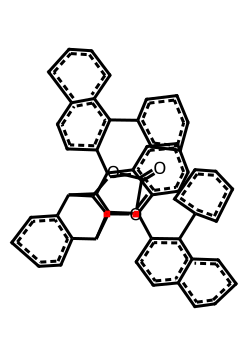 O=C1OC2C(O1)C1c3ccccc3C2C2C(c3ccc4ccccc4c3-c3ccccc3)=c3ccccc3=C(c3ccc4ccccc4c3-c3ccccc3)C21